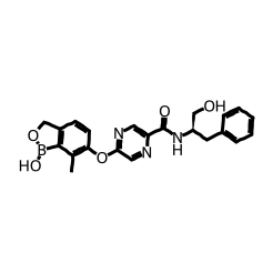 Cc1c(Oc2cnc(C(=O)N[C@@H](CO)Cc3ccccc3)cn2)ccc2c1B(O)OC2